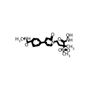 CNC(=O)c1ccc(-c2ccn(CCC(C)(C(=O)NO)S(C)(=O)=O)c(=O)c2)cc1